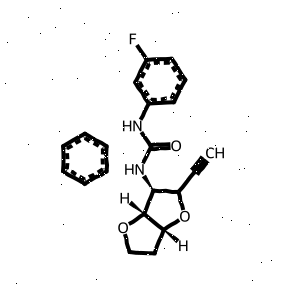 C#CC1O[C@@H]2CCO[C@@H]2[C@H]1NC(=O)Nc1cccc(F)c1.c1ccccc1